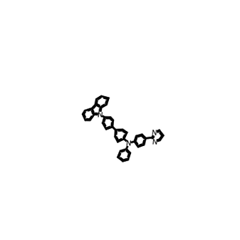 c1ccc(N(c2ccc(-c3ccc(-n4c5ccccc5c5ccccc54)cc3)cc2)c2ccc(-c3ncccn3)cc2)cc1